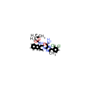 Cc1nc(N2CCC3(CC2)Cc2ccccc2[C@H]3NC(=O)OC(C)(C)C)c(C(N)=O)nc1-c1cccc(Cl)c1Cl